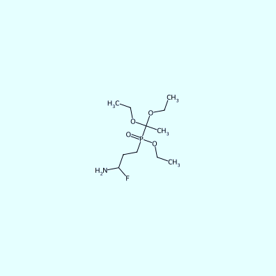 CCOC(C)(OCC)P(=O)(CCC(N)F)OCC